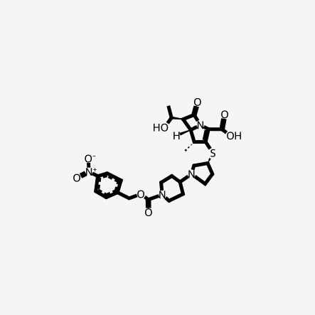 CC(O)[C@H]1C(=O)N2C(C(=O)O)=C(S[C@@H]3CCN(C4CCN(C(=O)OCc5ccc([N+](=O)[O-])cc5)CC4)C3)[C@H](C)[C@H]12